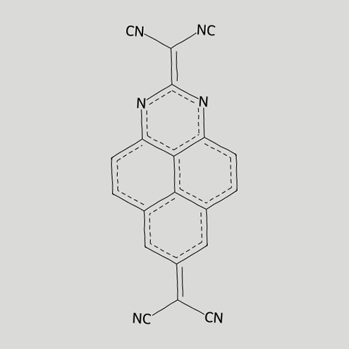 [C-]#[N+]C([N+]#[C-])=c1nc2ccc3cc(=C(C#N)C#N)cc4ccc(n1)c2c34